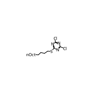 CCCCCCCCCCCCSc1nc(Cl)nc(Cl)n1